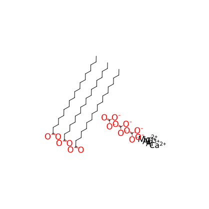 CCCCCCCCCCCCCCCCCC(=O)[O-].CCCCCCCCCCCCCCCCCC(=O)[O-].CCCCCCCCCCCCCCCCCC(=O)[O-].O=C([O-])[O-].O=C([O-])[O-].O=C([O-])[O-].[Al+3].[Al+3].[Ca+2].[Mg+2].[O-]